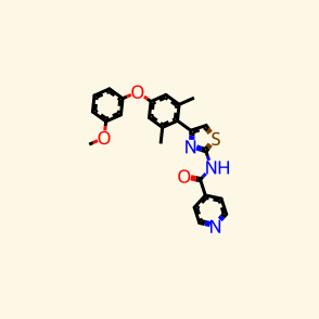 COc1cccc(Oc2cc(C)c(-c3csc(NC(=O)c4ccncc4)n3)c(C)c2)c1